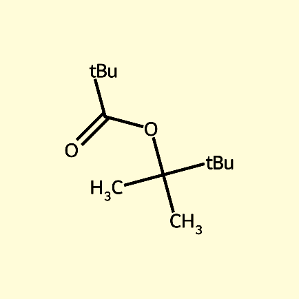 CC(C)(C)C(=O)OC(C)(C)C(C)(C)C